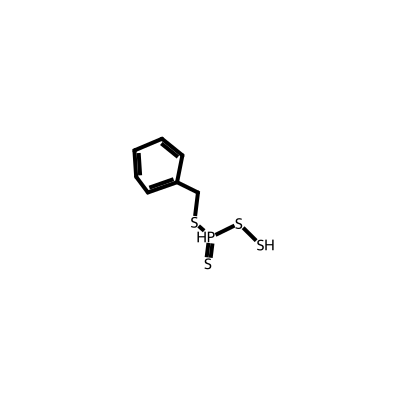 S=[PH](SS)SCc1ccccc1